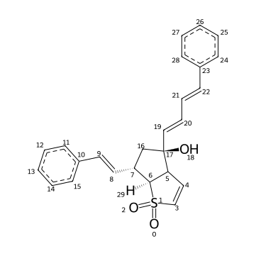 O=S1(=O)C=CC2[C@@H]1[C@H](/C=C/c1ccccc1)C[C@]2(O)/C=C/C=C/c1ccccc1